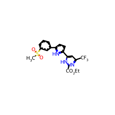 CCOC(=O)CN/C(=C\C(=N)C(F)(F)F)c1ccc(-c2cccc(S(C)(=O)=O)c2)[nH]1